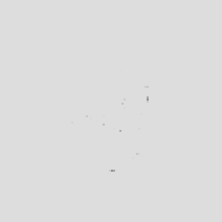 C=C[Si](C)(C)O[Si](CCCCl)(OCC)O[Si](C)(C)C=C